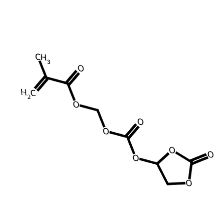 C=C(C)C(=O)OCOC(=O)OC1COC(=O)O1